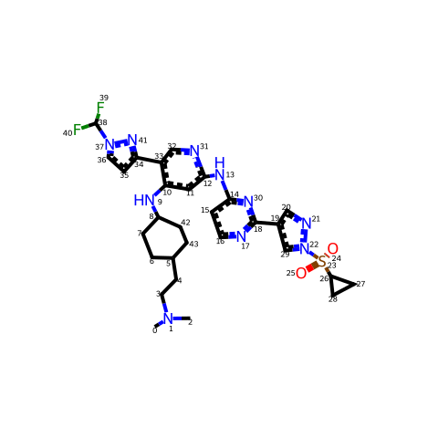 CN(C)CCC1CCC(Nc2cc(Nc3ccnc(-c4cnn(S(=O)(=O)C5CC5)c4)n3)ncc2-c2ccn(C(F)F)n2)CC1